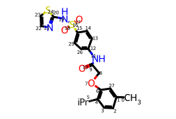 Cc1ccc(C(C)C)c(OCC(=O)Nc2ccc(S(=O)(=O)Nc3nccs3)cc2)c1